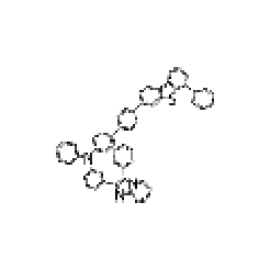 c1ccc(-c2cccc3c2sc2cc(-c4ccc(-c5ccc(N(c6ccccc6)c6cccc(-c7nc8ccccn8c7-c7ccccc7)c6)cc5)cc4)ccc23)cc1